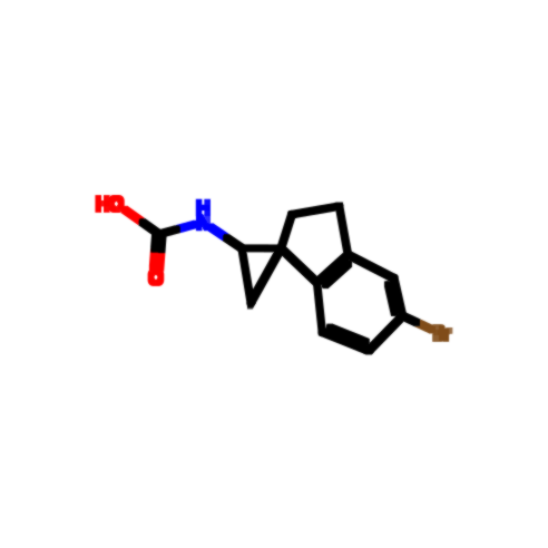 O=C(O)NC1CC12CCc1cc(Br)ccc12